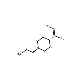 CCC[C@H]1CC[C@H](/C(F)=C\F)CC1